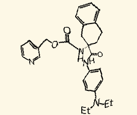 CCN(CC)c1ccc(NC(=O)[C@]2(NC(=O)OCc3cccnc3)CCc3ccccc3C2)cc1